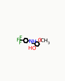 COc1ccc(O)c(CNc2ccc(C(F)(F)F)cc2)c1